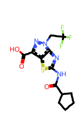 O=C(O)c1nn(CC(F)(F)F)c2nc(NC(=O)C3CCCC3)sc12